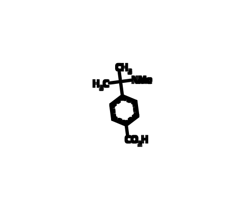 CNC(C)(C)c1ccc(C(=O)O)cc1